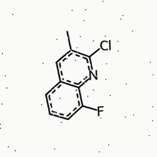 Cc1cc2cccc(F)c2nc1Cl